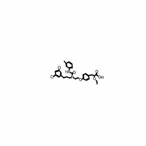 CCOC(Cc1ccc(OCCN(CCCc2cc(Cl)cc(Cl)c2)C(=O)Nc2cccc(C)c2)cc1)C(=O)O